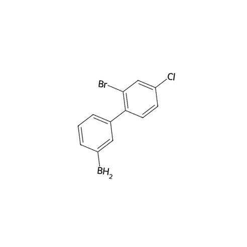 Bc1cccc(-c2ccc(Cl)cc2Br)c1